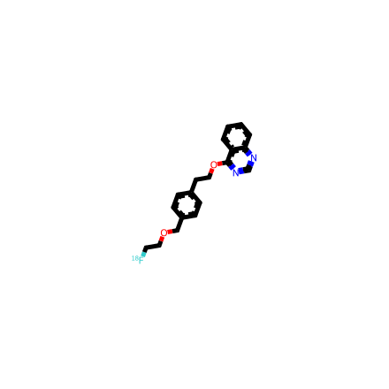 [18F]CCOCc1ccc(CCOc2ncnc3ccccc23)cc1